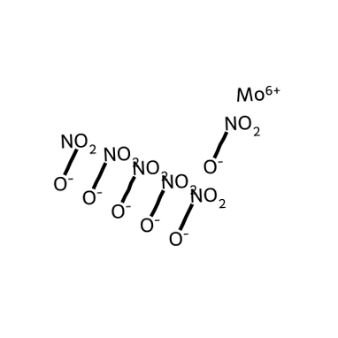 O=[N+]([O-])[O-].O=[N+]([O-])[O-].O=[N+]([O-])[O-].O=[N+]([O-])[O-].O=[N+]([O-])[O-].O=[N+]([O-])[O-].[Mo+6]